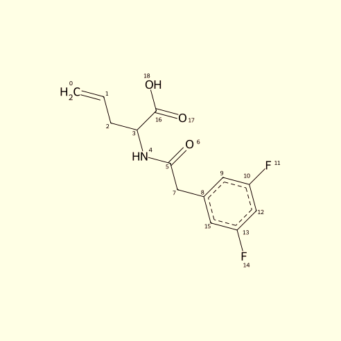 C=CCC(NC(=O)Cc1cc(F)cc(F)c1)C(=O)O